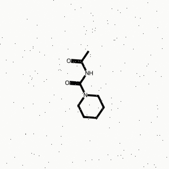 CC(=O)NC(=O)N1CCCCC1